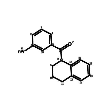 CCCc1cccc(C(=O)N2CCCc3ccccc32)c1